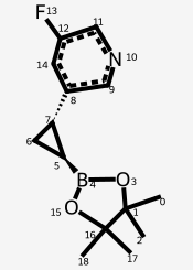 CC1(C)OB([C@H]2C[C@@H]2c2cncc(F)c2)OC1(C)C